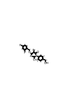 Cc1nc(OCc2ccc(F)cc2F)c(Br)c(=O)n1-c1ccc(CO)cc1